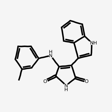 Cc1cccc(NC2=C(c3c[nH]c4ccccc34)C(=O)NC2=O)c1